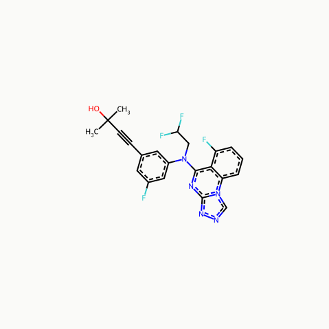 CC(C)(O)C#Cc1cc(F)cc(N(CC(F)F)c2nc3nncn3c3cccc(F)c23)c1